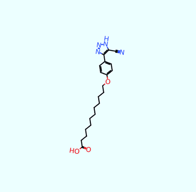 N#Cc1[nH]nnc1-c1ccc(OCCCCCCCCCCCC(=O)O)cc1